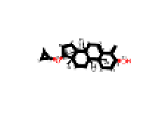 CC1C2=CC[C@@H]3[C@@H](CC[C@]4(C)C(OC5CC5)CC[C@@H]34)[C@@]2(C)CCC1O